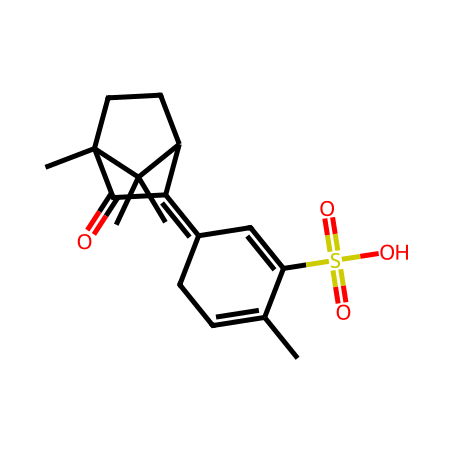 CC1=CCC(=C2C(=O)C3(C)CCC2C3(C)C)C=C1S(=O)(=O)O